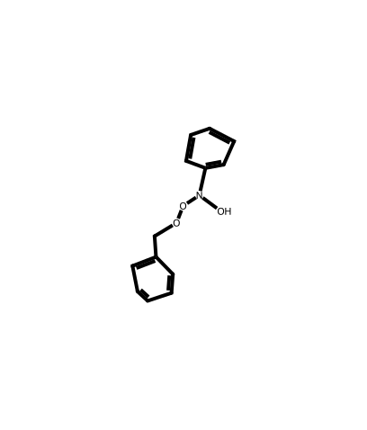 ON(OOCc1ccccc1)c1ccccc1